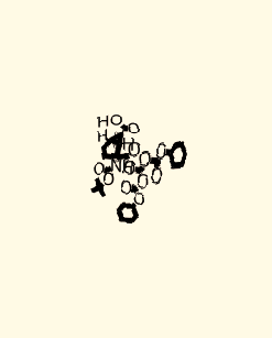 CC(C)(C)OC(=O)N[C@@]1(C(=O)OC(OC(=O)OC2CCCCC2)OC(=O)OC2CCCCC2)CC[C@H]2[C@H](C(=O)O)[C@H]21